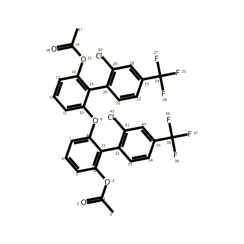 CC(=O)Oc1cccc(Oc2cccc(OC(C)=O)c2-c2ccc(C(F)(F)F)cc2Cl)c1-c1ccc(C(F)(F)F)cc1Cl